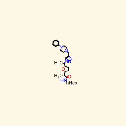 CCCCCCNC(=O)[C@@H](C)[C@@H]1CCC(C(C)n2cc(CN3CCN(c4ccccc4)CC3)nn2)O1